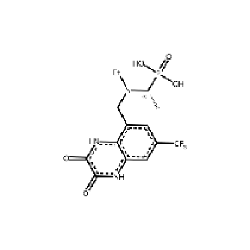 CCN(Cc1cc(C(F)(F)F)cc2[nH]c(=O)c(=O)[nH]c12)[C@@H](C)P(=O)(O)O